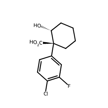 O=C(O)[C@]1(c2ccc(Cl)c(F)c2)CCCC[C@H]1O